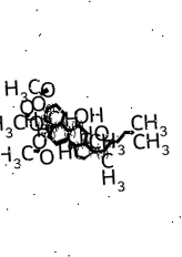 CC(=O)O[C@@H]1[C@@H]2[C@@H](OC(C)=O)C=C3[C@H]([C@H](O)C[C@]4(C)[C@@H]([C@H](C)[C@H](O)CCC(C)C)CC[C@@H]34)[C@@]2(C)CC[C@@H]1OC(C)=O